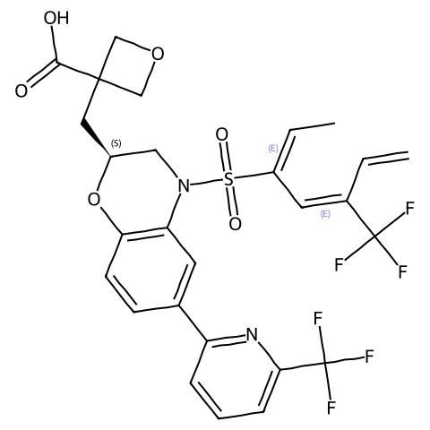 C=C/C(=C\C(=C/C)S(=O)(=O)N1C[C@H](CC2(C(=O)O)COC2)Oc2ccc(-c3cccc(C(F)(F)F)n3)cc21)C(F)(F)F